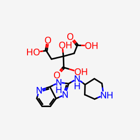 O=C(O)CC(O)(CC(=O)O)C(=O)O.c1cnc2[nH]c(NC3CCNCC3)nc2c1